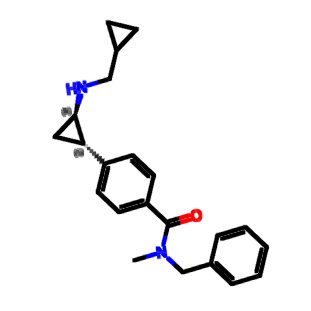 CN(Cc1ccccc1)C(=O)c1ccc([C@@H]2C[C@H]2NCC2CC2)cc1